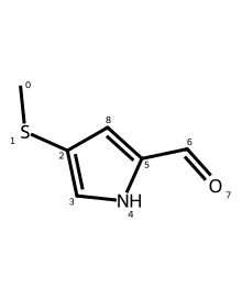 CSc1c[nH]c(C=O)c1